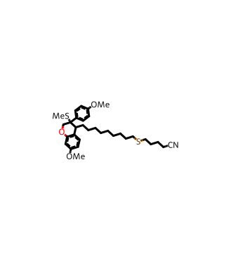 COc1ccc(C2(SC)COc3cc(OC)ccc3C2CCCCCCCCCSCCCCC#N)cc1